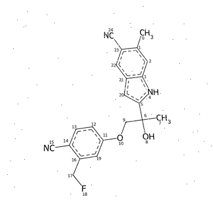 Cc1cc2[nH]c(C(C)(O)COc3ccc(C#N)c(CF)c3)cc2cc1C#N